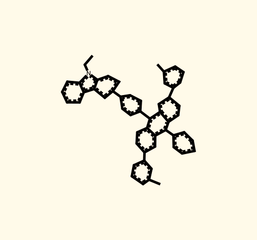 CCn1c2ccccc2c2cc(-c3ccc(-c4c5ccc(-c6cccc(C)c6)cc5c(-c5ccccc5)c5ccc(-c6cccc(C)c6)cc45)cc3)ccc21